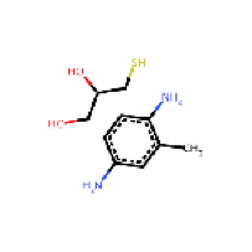 Cc1cc(N)ccc1N.OCC(O)CS